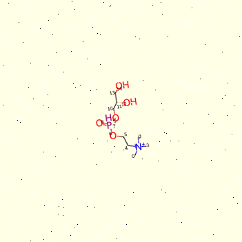 C[N+](C)(C)CCO[PH](=O)OC[C@@H](O)CO